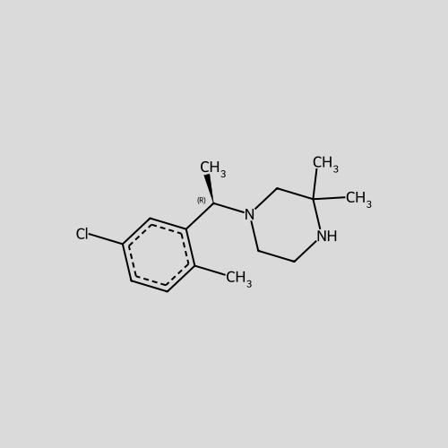 Cc1ccc(Cl)cc1[C@@H](C)N1CCNC(C)(C)C1